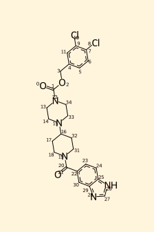 O=C(OCc1ccc(Cl)c(Cl)c1)N1CCN(C2CCN(C(=O)c3ccc4[nH]cnc4c3)CC2)CC1